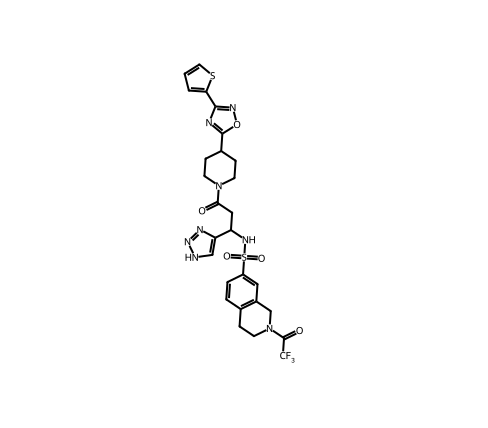 O=C(CC(NS(=O)(=O)c1ccc2c(c1)CN(C(=O)C(F)(F)F)CC2)c1c[nH]nn1)N1CCC(c2nc(-c3cccs3)no2)CC1